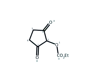 CCOC(=O)OC1C(=O)CCC1=O